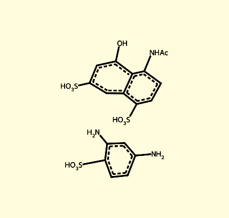 CC(=O)Nc1ccc(S(=O)(=O)O)c2cc(S(=O)(=O)O)cc(O)c12.Nc1ccc(S(=O)(=O)O)c(N)c1